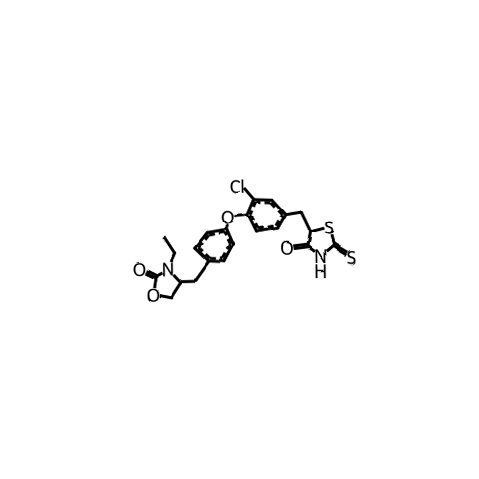 CCN1C(=O)OCC1Cc1ccc(Oc2ccc(CC3SC(=S)NC3=O)cc2Cl)cc1